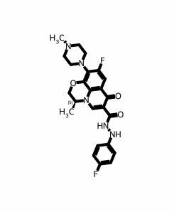 C[C@H]1COc2c(N3CCN(C)CC3)c(F)cc3c(=O)c(C(=O)NNc4ccc(F)cc4)cn1c23